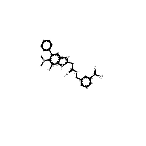 CN(C)c1c(-c2ccccc2)cc2sc(CC(=O)NCc3cccc(C(=O)O)c3)nc2c1Cl